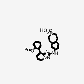 CC(C)Oc1ccccc1-c1cccn2nc(Nc3ccc4c(c3)CCN(C(=O)O)CC4)nc12